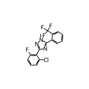 Cn1nc(-c2c(F)cccc2Cl)nc1-c1ccccc1C(F)(F)F